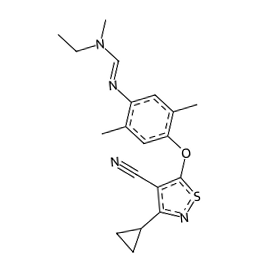 CCN(C)C=Nc1cc(C)c(Oc2snc(C3CC3)c2C#N)cc1C